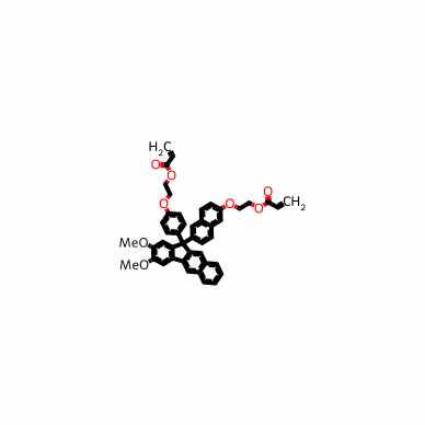 C=CC(=O)OCCOc1ccc(C2(c3ccc4cc(OCCOC(=O)C=C)ccc4c3)c3cc(OC)c(OC)cc3-c3cc4ccccc4cc32)cc1